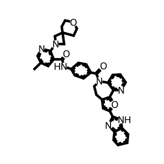 Cc1cnc(N2CC3(CCOCC3)C2)c(C(=O)Nc2ccc(C(=O)N3CCc4cc(-c5nc6ccccc6[nH]5)oc4-c4ncccc43)cc2)c1